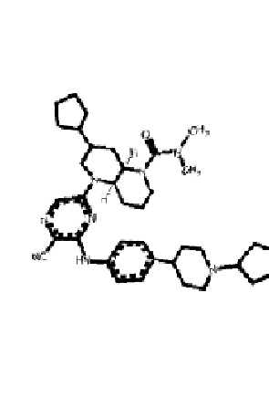 CN(C)C(=O)N1CCC[C@@H]2[C@H]1CC(C1CCCC1)CN2c1cnc(C#N)c(Nc2ccc(C3CCN(C4CCCC4)CC3)cc2)n1